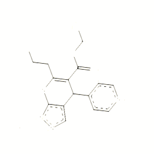 CCCC1=C(C(=O)OCC)C(c2ccncc2)c2c[nH]nc2N1.Cl.Cl